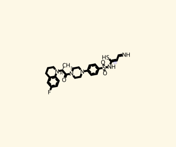 C[C@H](C(=O)N1CCN(c2ccc(S(=O)(=O)N/C(S)=C/C=N)cc2)CC1)N1CCCc2cc(F)ccc21